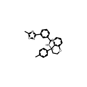 Cc1ccc([C@@]2(NC(=O)c3cccc(-c4noc(C)n4)c3)CCOc3cccnc32)cc1